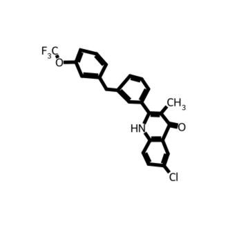 Cc1c(-c2cccc(Cc3cccc(OC(F)(F)F)c3)c2)[nH]c2ccc(Cl)cc2c1=O